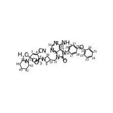 CC(C)(/C=C(/C#N)C(=O)N1CC(Cn2c(=O)n(-c3ccc(Oc4ccccc4)cc3)c3c(N)ncnc32)C1)N1CCCCC1